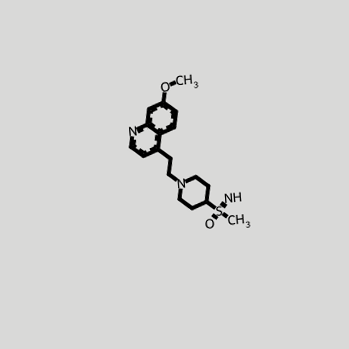 COc1ccc2c(CCN3CCC(S(C)(=N)=O)CC3)ccnc2c1